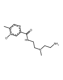 Cc1cnc(C(=O)NCCN(C)CCN)c[n+]1[O-]